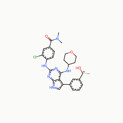 C[C@@H](O)c1cccc(-c2c[nH]c3nc(Nc4ccc(C(=O)N(C)C)cc4Cl)nc(NC4CCOCC4)c23)c1